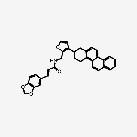 O=C(C=Cc1ccc2c(c1)OCO2)NCc1occc1C1CCc2c(ccc3c2ccc2ccccc23)C1